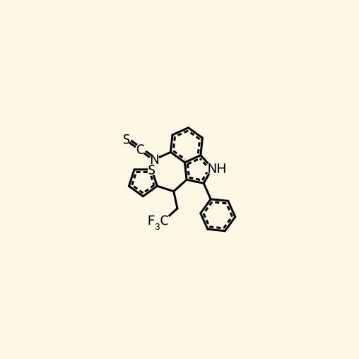 FC(F)(F)CC(c1cccs1)c1c(-c2ccccc2)[nH]c2cccc(N=C=S)c12